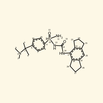 CN(C)C(C)(C)c1ccc([SH](N)(=O)NC(=O)Nc2c3c(cc4c2CCC4)CCC3)cc1